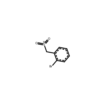 O=[SH](=O)Cc1ccc[c]c1Br